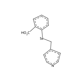 O=C(O)c1ccccc1[Se]Cc1ccncc1